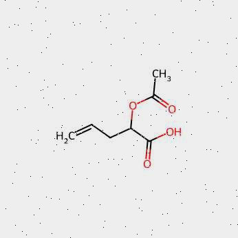 C=CCC(OC(C)=O)C(=O)O